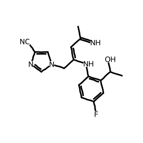 CC(=N)/C=C(/Cn1cnc(C#N)c1)Nc1ccc(F)cc1C(C)O